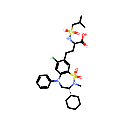 CC(C)CS(=O)(=O)NC(CCc1cc2c(cc1Cl)N(c1ccccc1)C[C@@H](C1CCCCC1)N(C)S2(=O)=O)C(=O)O